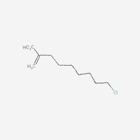 C=C(CCCCCCCCl)C(=O)O